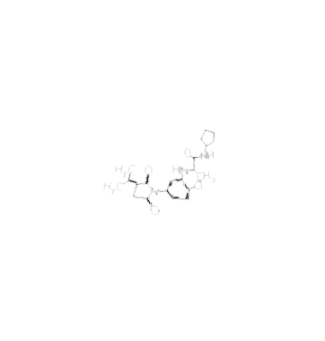 CC(C)=C1CC(=O)N(c2ccc(Cl)c(NC(C)C(=O)NC3CCCC3)c2)C1=O